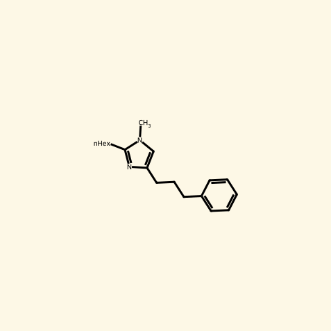 CCCCCCc1nc(CCCc2ccccc2)cn1C